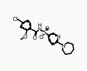 COc1cc(Cl)ccc1C(=O)NS(=O)(=O)c1ccc(N2CCCCCC2)nc1